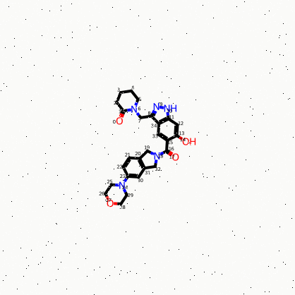 O=C1CCCCN1Cc1n[nH]c2cc(O)c(C(=O)N3Cc4ccc(N5CCOCC5)cc4C3)cc12